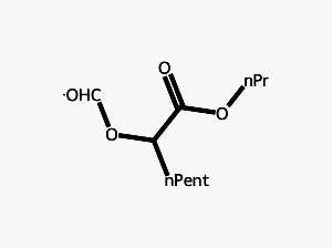 CCCCCC(O[C]=O)C(=O)OCCC